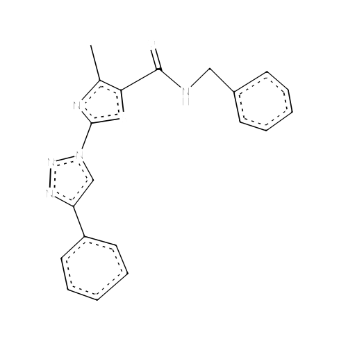 Cc1nc(-n2cc(-c3ccccc3)nn2)sc1C(=O)NCc1ccccc1